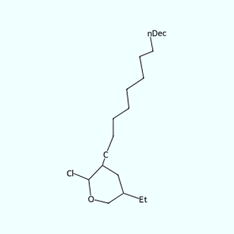 CCCCCCCCCCCCCCCCCCC1CC(CC)COC1Cl